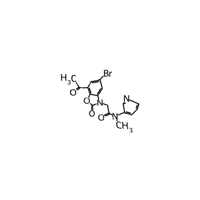 CC(=O)c1cc(Br)cc2c1oc(=O)n2CC(=O)N(C)c1cccnc1